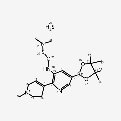 CN1CC=C(c2ncc(B3OC(C)(C)C(C)(C)O3)cc2NOSN(C)C)CC1.S